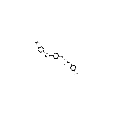 CS/C(=N\c1ccc(N(C)C)cc1)N/N=C/c1ccc(-c2ncn(-c3ccc(OC(F)(F)F)cc3)n2)cc1